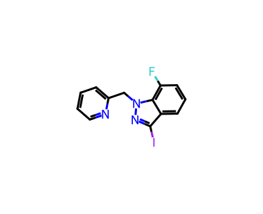 Fc1cccc2c(I)nn(Cc3ccccn3)c12